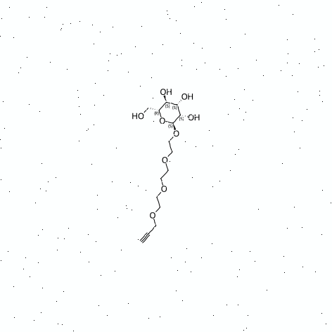 C#CCOCCOCCOCCO[C@H]1O[C@H](CO)[C@@H](O)[C@H](O)[C@@H]1O